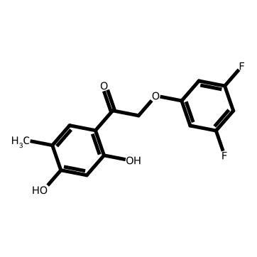 Cc1cc(C(=O)COc2cc(F)cc(F)c2)c(O)cc1O